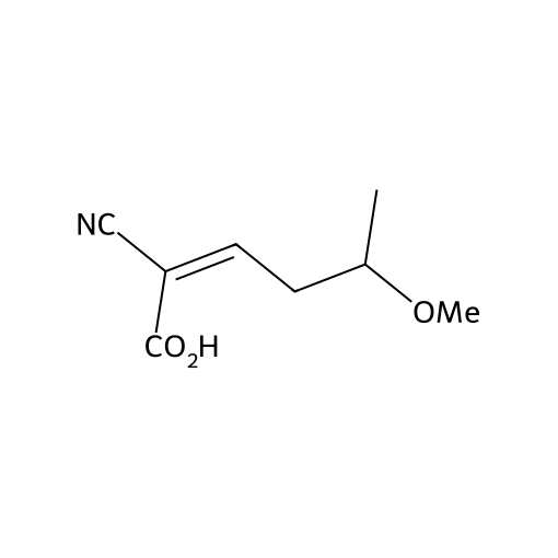 COC(C)CC=C(C#N)C(=O)O